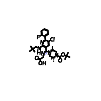 C[C@@H]1CN(/C(=N\CC(=O)O)c2cc(Cl)c(-c3ccccc3F)nc2NCC(C)(C)C)[C@@H](C)CN1C(=O)OC(C)(C)C